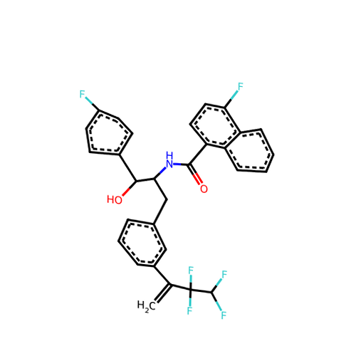 C=C(c1cccc(CC(NC(=O)c2ccc(F)c3ccccc23)C(O)c2ccc(F)cc2)c1)C(F)(F)C(F)F